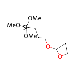 CO[Si](CCCOC1CCO1)(OC)OC